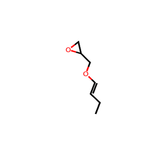 CCC=COCC1CO1